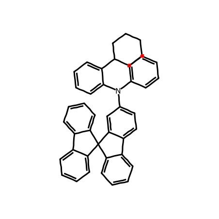 c1ccc(N(c2ccc3c(c2)C2(c4ccccc4-c4ccccc42)c2ccccc2-3)c2ccccc2C2CCCCC2)cc1